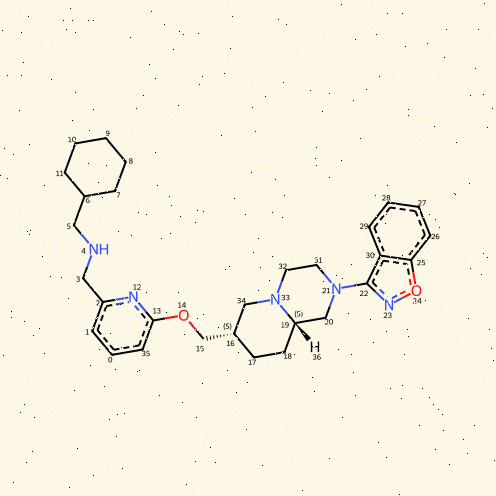 c1cc(CNCC2CCCCC2)nc(OC[C@H]2CC[C@H]3CN(c4noc5ccccc45)CCN3C2)c1